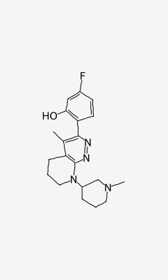 Cc1c(-c2ccc(F)cc2O)nnc2c1CCCN2C1CCCN(C)C1